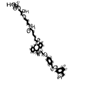 CC(C)Cc1ccc(OC(=O)c2ccc(OCCn3nnc4c3-c3ccccc3N(C(=O)CCCCC(=O)NCCCOCC(O)COP(C)(=O)O)Cc3ccccc3-4)cc2)cc1